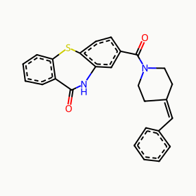 O=C1Nc2cc(C(=O)N3CCC(=Cc4ccccc4)CC3)ccc2Sc2ccccc21